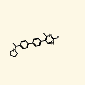 Cc1nc(F)ncc1-c1ccc(-c2ccc(C(C)N3CCCC3)cc2)cc1